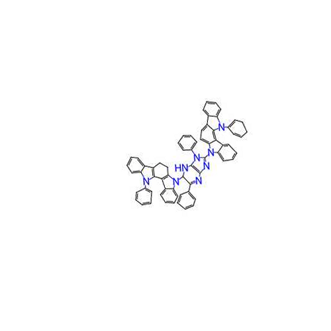 C1=CC(n2c3ccccc3c3ccc4c(c5ccccc5n4-c4nc5c(n4-c4ccccc4)NC(n4c6c(c7ccccc74)-c4c(c7ccccc7n4-c4ccccc4)CC6)C(c4ccccc4)=N5)c32)=CCC1